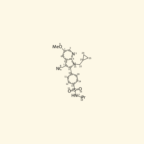 COc1cnc2c(c1)c(C#N)c(-c1ccc(S(=O)(=O)NC(C)C)cc1)n2CC1CC1